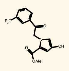 COC(=O)c1cc(O)cn1CC(=O)c1cccc(C(F)(F)F)c1